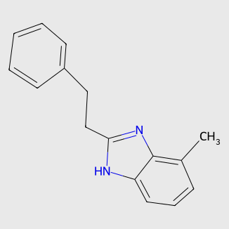 Cc1cccc2[nH]c(CCc3ccccc3)nc12